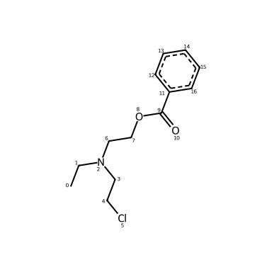 CCN(CCCl)CCOC(=O)c1ccccc1